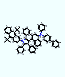 CC(C)(C)c1c2ccccc2c(C(C)(C)C)c2cc(-n3c(-c4ccccc4)c(-c4ccccc4)c4c5c6ccccc6c(N(c6ccccc6)c6ccc(-c7ccccc7)cc6)cc5c5ccccc5c43)ccc12